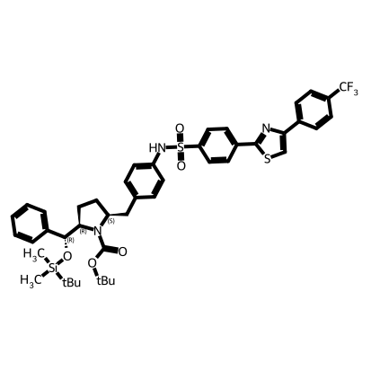 CC(C)(C)OC(=O)N1[C@H](Cc2ccc(NS(=O)(=O)c3ccc(-c4nc(-c5ccc(C(F)(F)F)cc5)cs4)cc3)cc2)CC[C@@H]1[C@H](O[Si](C)(C)C(C)(C)C)c1ccccc1